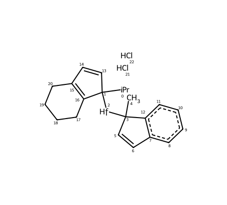 CC(C)[C]1([Hf][C]2(C)C=Cc3ccccc32)C=CC2=C1CCCC2.Cl.Cl